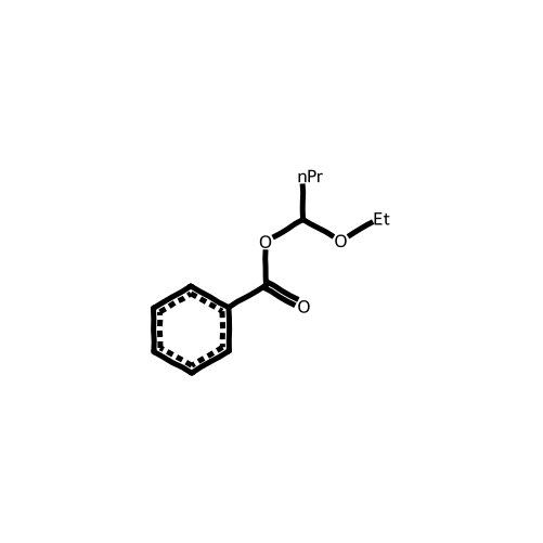 CCCC(OCC)OC(=O)c1ccccc1